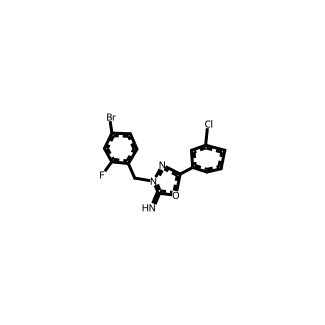 N=c1oc(-c2cccc(Cl)c2)nn1Cc1ccc(Br)cc1F